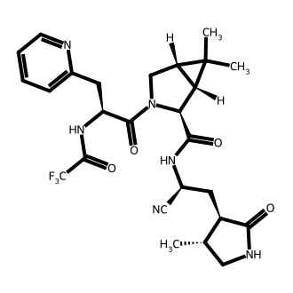 C[C@H]1CNC(=O)[C@@H]1C[C@@H](C#N)NC(=O)[C@@H]1[C@@H]2[C@H](CN1C(=O)[C@H](Cc1ccccn1)NC(=O)C(F)(F)F)C2(C)C